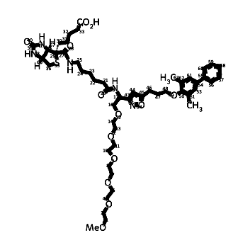 COCCOCCOCCOCCOCCOCC(NC(=O)CCCCCNC(=O)[C@@]1(CCCCC(=O)O)SC[C@@H]2NC(=O)N[C@@H]21)c1cc(CCCOc2c(C)cc(-c3ccccc3)cc2C)on1